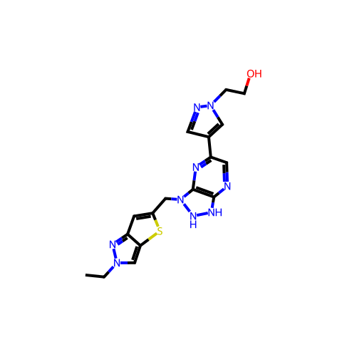 CCn1cc2sc(CN3NNc4ncc(-c5cnn(CCO)c5)nc43)cc2n1